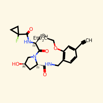 C#Cc1ccc(CNC(=O)[C@@H]2C[C@@H](O)CN2C(=O)[C@@H](NC(=O)C2(F)CC2)C(C)(C)C)c(OCC(=O)OCC)c1